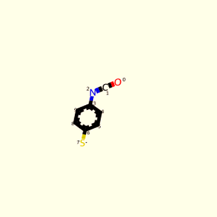 O=C=Nc1ccc([S])cc1